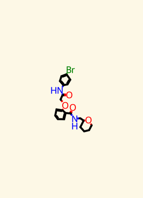 O=C(COc1ccccc1C(=O)NCC1CCCCO1)Nc1ccc(Br)cc1